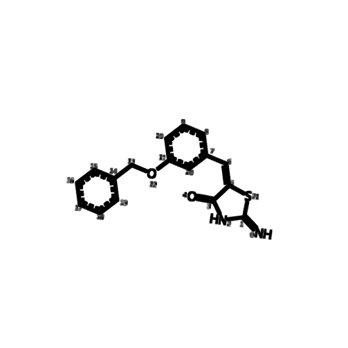 N=C1NC(=O)/C(=C\c2cccc(OCc3ccccc3)c2)S1